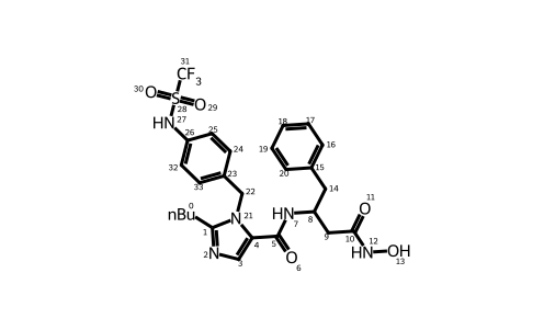 CCCCc1ncc(C(=O)NC(CC(=O)NO)Cc2ccccc2)n1Cc1ccc(NS(=O)(=O)C(F)(F)F)cc1